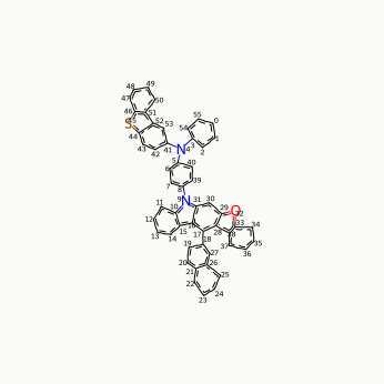 c1ccc(N(c2ccc(-n3c4ccccc4c4c(-c5ccc6ccccc6c5)c5c(cc43)oc3ccccc35)cc2)c2ccc3sc4ccccc4c3c2)cc1